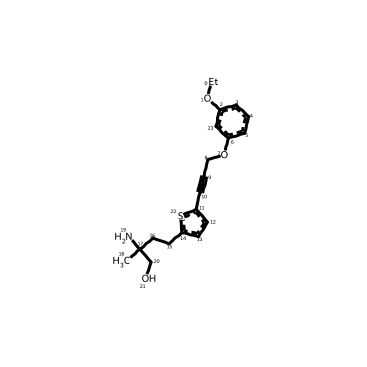 CCOc1cccc(OCC#Cc2ccc(CCC(C)(N)CO)s2)c1